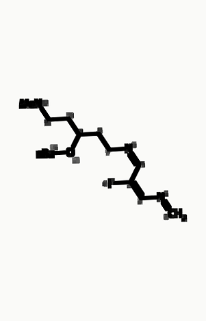 C=N/C=C(F)\C=N/CCC(CCNC)OCCCC